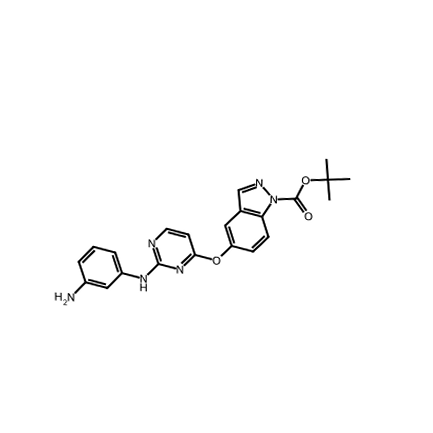 CC(C)(C)OC(=O)n1ncc2cc(Oc3ccnc(Nc4cccc(N)c4)n3)ccc21